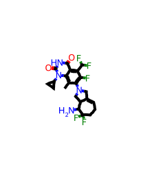 Cc1c(N2CC3=CCCC(F)(F)C(N)C3C2)c(F)c(C(F)F)c2c(=O)[nH]c(=O)n(C3CC3)c12